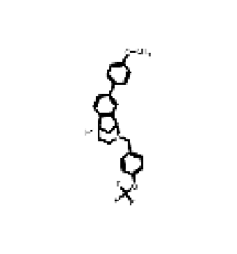 COc1ccc(-c2ccc3c(c2)C2C[C@H]3CCN2Cc2ccc(OC(F)(F)F)cc2)cc1